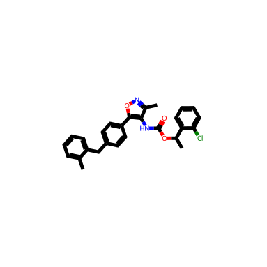 Cc1ccccc1Cc1ccc(-c2onc(C)c2NC(=O)OC(C)c2ccccc2Cl)cc1